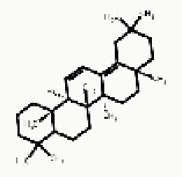 CC1(C)CC[C@]2(C)CC[C@]3(C)C(=C2C1)C=C[C@@H]1[C@@]2(C)CCCC(C)(C)C2CC[C@]13C